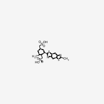 Cc1nc2cc3sc(-c4cc(CS(=O)(=O)O)cc(C)c4CS(=O)(=O)O)nc3cc2s1